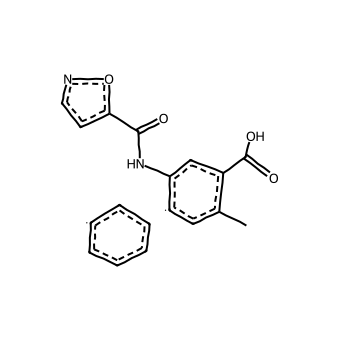 Cc1c[c]c(NC(=O)c2ccno2)cc1C(=O)O.[c]1ccccc1